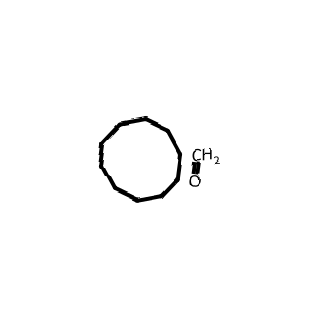 C1CCCCCCCCC1.C=O